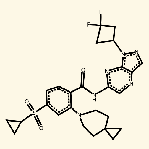 O=C(Nc1cnc2cnn(C3CC(F)(F)C3)c2n1)c1ccc(S(=O)(=O)C2CC2)cc1N1CCC2(CC1)CC2